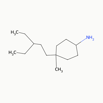 CCC(CC)CCC1(C)CCC(N)CC1